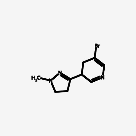 CN1CCC(C2C=NC=C(Br)C2)=N1